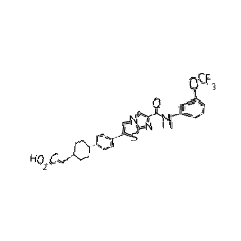 O=C(O)C[C@H]1CC[C@H](c2ccc(-c3cn4cc(C(=O)Nc5cccc(OC(F)(F)F)c5)nc4s3)cc2)CC1